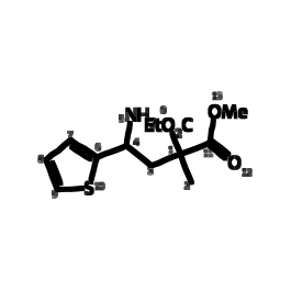 CCOC(=O)C(C)(CC(N)c1cccs1)C(=O)OC